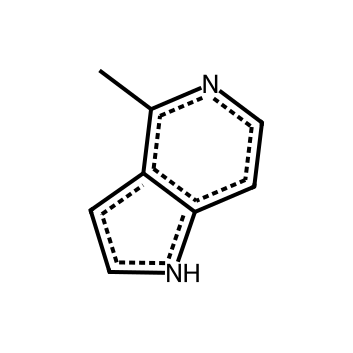 Cc1nccc2[nH]ccc12